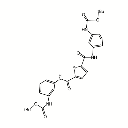 CC(C)(C)OC(=O)Nc1cccc(NC(=O)c2ccc(C(=O)Nc3cccc(NC(=O)OC(C)(C)C)c3)s2)c1